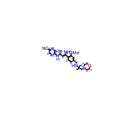 COc1cc(CNC(C)(C)CN2CCOCC2)ccc1/C(N)=C/C(=N)Nc1cnc(C#N)cn1